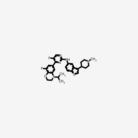 CC(C)N1CCOc2c(F)cc(-c3nc(Nc4ccc5scc(C6CCN(C)CC6)c5c4)ncc3F)cc21